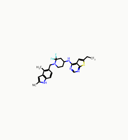 Cc1c(CN2CCC(Nc3ncnc4sc(CC(F)(F)F)cc34)CC2(F)F)ccc2[nH]c(C#N)cc12